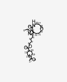 CCn1nc(CCCCOC(=O)C2CCN(C(C)=O)CC2)c2c1C(=O)NCCCOCCC2